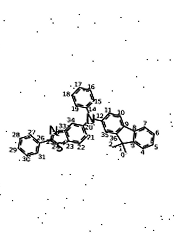 CC1(C)c2ccccc2-c2ccc(N(c3ccccc3)c3ccc4sc(-c5ccccc5)nc4c3)cc21